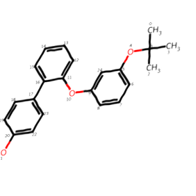 CC(C)(C)Oc1cccc(Oc2ccccc2-c2ccc(O)cc2)c1